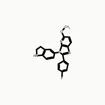 COc1ccc2nc(-c3ccc(F)cc3)n(-c3ccc4c(c3)CCN4)c2n1